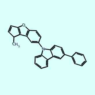 CC1C=Cc2oc3ccc(-n4c5ccccc5c5cc(-c6ccccc6)ccc54)cc3c21